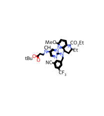 CCOC(=O)N1c2ccc(OC)nc2[C@@H](N(Cc2cc(C#N)cc(C(F)(F)F)c2)c2ncc(N(C)CCC(=O)OC(C)(C)C)cn2)C[C@H]1CC